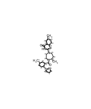 Cc1ccc(-n2nccn2)c(C(=O)N2CCN(c3nc4ccc(C)cc4c(=O)[nH]3)CCC2C)c1